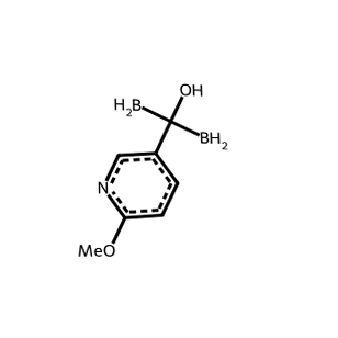 BC(B)(O)c1ccc(OC)nc1